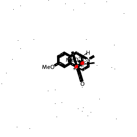 COc1ccc2c(c1)[C@]13CCN(C)[C@H](C2)C1(OC)[C@H](C)CC(=O)C3